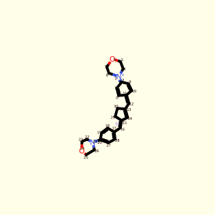 C1=CC(=[N+]2CCOCC2)C=CC1=CC1=C/C(=C/c2ccc(N3CCOCC3)cc2)CC1